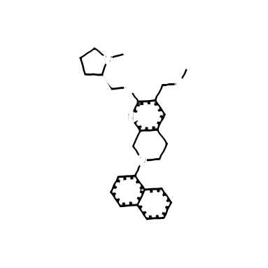 COCc1cc2c(nc1OC[C@H]1CCCN1C)CN(c1cccc3ccccc13)CC2